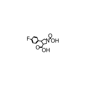 O=C(O)C1CN(C(=O)O)CC1c1ccc(F)cc1